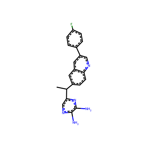 CC(c1ccc2ncc(-c3ccc(F)cc3)cc2c1)c1cnc(N)c(N)n1